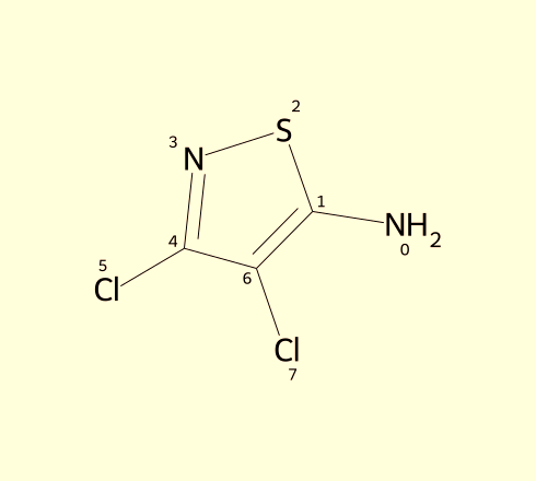 Nc1snc(Cl)c1Cl